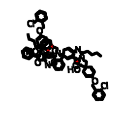 CCCCCN(C(=O)c1ccccc1)[N+]1(CC2(C(=O)O)C=CC(OCc3ccccc3Cl)=CC2)C(=O)c2c(cccc2C2(N(Cc3ccccc3)C(=O)N(C)CC)C=c3c(nc(CCCC)n(CC4(C(=O)O)C=CC(OCc5ccccc5Cl)=CC4)c3=O)=CC2)N=C1CCCC